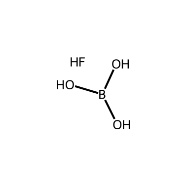 F.OB(O)O